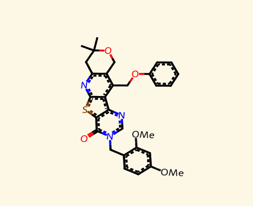 COc1ccc(Cn2cnc3c(sc4nc5c(c(COc6ccccc6)c43)COC(C)(C)C5)c2=O)c(OC)c1